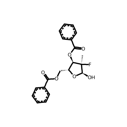 C[C@@]1(F)[C@H](OC(=O)c2ccccc2)[C@@H](COC(=O)c2ccccc2)O[C@@H]1O